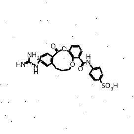 N=C(N)Nc1ccc2c(c1)CCCOc1c(cccc1C(=O)Nc1ccc(S(=O)(=O)O)cc1)OC2=O